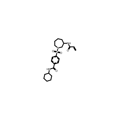 C=CC(=O)NC1CCCCN(S(=O)(=O)c2ccc(C(=O)NC3CCCCC3)cc2)C1